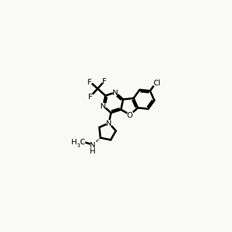 CN[C@H]1CCN(c2nc(C(F)(F)F)nc3c2oc2ccc(Cl)cc23)C1